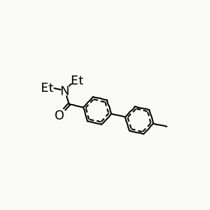 CCN(CC)C(=O)c1ccc(-c2ccc(C)cc2)cc1